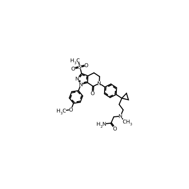 COc1ccc(-n2nc(S(C)(=O)=O)c3c2C(=O)N(c2ccc(C4(CCN(C)CC(N)=O)CC4)cc2)CC3)cc1